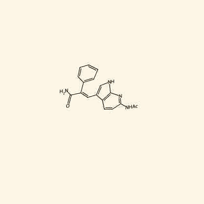 CC(=O)Nc1ccc2c(C=C(C(N)=O)c3ccccc3)c[nH]c2n1